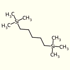 C[Si](C)(C)CCCCC[Si](C)(C)C